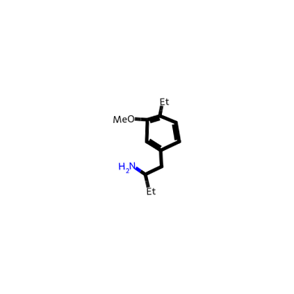 CCc1ccc(CC(N)CC)cc1OC